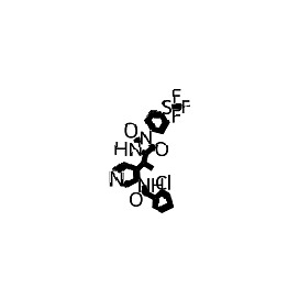 CC(c1ccncc1NC(=O)c1ccccc1Cl)C1NC(=O)N(c2ccc(SC(F)(F)F)cc2)C1=O